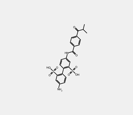 CC(C)C(=O)c1ccc(C(=O)Nc2ccc(-c3ccc(N)cc3S(=O)(=O)O)c(S(=O)(=O)O)c2)cc1